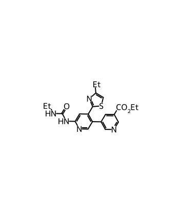 CCNC(=O)Nc1cc(-c2nc(CC)cs2)c(-c2cncc(C(=O)OCC)c2)cn1